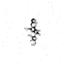 Nc1nc2c([nH]c(=O)n2[C@@H]2O[C@H](CO)[C@@H](F)[C@H]2O)c(=O)n1Cc1ccn[nH]1